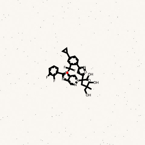 CC(CO)(CO)CC(C(=O)O)(c1cc(-c2ccc(C3CC3)cc2C(F)(F)F)no1)n1cc2nc(-c3cccc(F)c3F)nc-2cn1